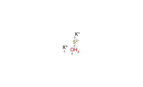 O.[K+].[K+].[S-2]